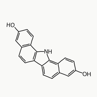 Oc1ccc2c(ccc3c4ccc5cc(O)ccc5c4[nH]c23)c1